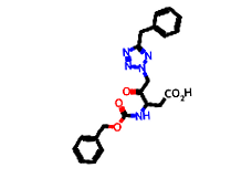 O=C(O)CC(NC(=O)OCc1ccccc1)C(=O)Cn1nnc(Cc2ccccc2)n1